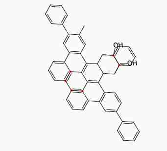 Cc1cc(C2=c3ccccc3=C(c3ccc(-c4ccccc4)cc3-c3ccccc3)C3C2C2c4ccccc4C3C(O)C2O)c(-c2ccccc2)cc1-c1ccccc1